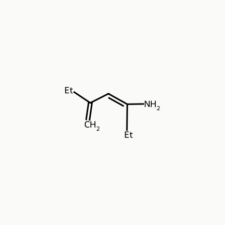 C=C(/C=C(/N)CC)CC